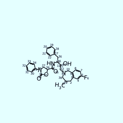 C[C@H]1Cc2cc(F)ccc2CN(C[C@@H](O)[C@H](Cc2ccccc2)NC(=O)C2CN(c3ccccc3)C(=O)O2)C1